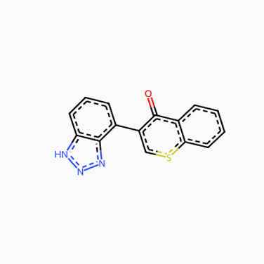 O=c1c(-c2cccc3[nH]nnc23)csc2ccccc12